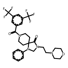 O=C(c1cc(C(F)(F)F)cc(C(F)(F)F)c1)N1CCC2(CC1)C(=O)N(CCN1CCOCC1)CN2c1ccccc1